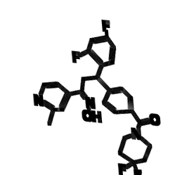 Cc1cc(C(CC(c2ccc(C(=O)N3CCC(F)(F)CC3)cc2)c2ccc(F)cc2F)=NO)ccn1